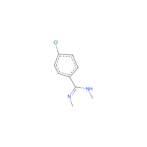 C/N=C(\NC)c1ccc(Cl)cc1